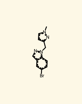 Cn1ccc(Cn2ncc3cc(Br)ccc32)n1